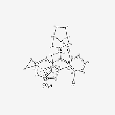 O=C(O)c1cccc(C(=O)N2CC3CCC(C2)C3OCc2c(-c3c(Cl)cccc3Cl)noc2C2CC2)c1